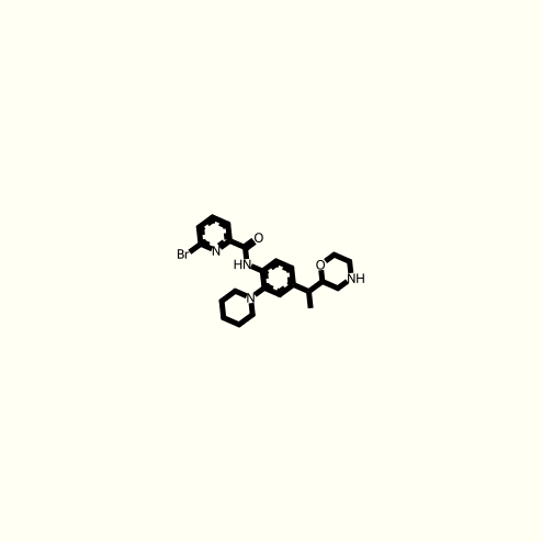 CC(c1ccc(NC(=O)c2cccc(Br)n2)c(N2CCCCC2)c1)C1CNCCO1